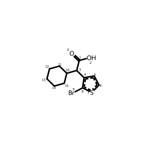 O=C(O)C(c1ccsc1Br)C1CCCCC1